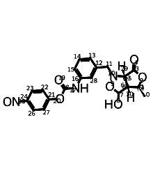 C[C@@H]1OC(=O)[C@@H]2[C@H]1C(O)ON2Cc1cccc(NC(=O)Oc2ccc(N=O)cc2)c1